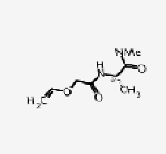 C=COCC(=O)N[C@@H](C)C(=O)NC